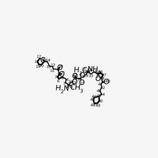 C[C@@](N)(CCc1ccc(C(=O)CCCCc2ccccc2)o1)COC(=O)C(=O)OC[C@](C)(N)CCc1ccc(C(=O)CCCCc2ccccc2)o1